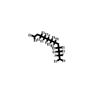 CCC(CC)CC(CC)(CC)C(CC)(CC)C(F)(F)C(CC)(CC)C(CC)(CC)CC(CC)(CC)C(CC)(CC)C(F)(F)C(CC)CC